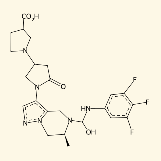 C[C@H]1Cn2ncc(N3CC(N4CCC(C(=O)O)C4)CC3=O)c2CN1C(O)Nc1cc(F)c(F)c(F)c1